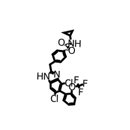 O=S(=O)(NC1CC1)c1ccc(Cc2nc3c(Cl)c(-c4ccccc4OC(F)(F)F)c(Cl)cc3[nH]2)cc1